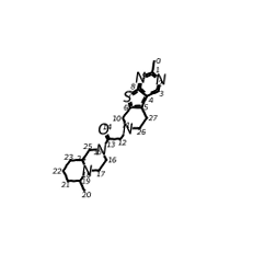 Cc1ncc2c3c(sc2n1)CN(CC(=O)N1CCN2C(C)CCCC2C1)CC3